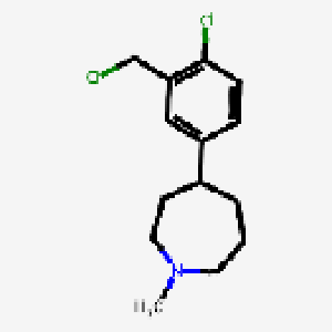 CN1CCCC(c2ccc(Cl)c(CCl)c2)CC1